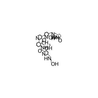 COc1nc(-c2ccnc(-c3cccc(NC(=O)c4ncc(CNCCO)cc4O)c3C)c2Cl)ccc1CNC[C@H]1CCC(=O)N1